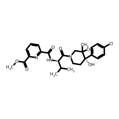 COC(=O)c1cccc(C(=O)N[C@@H](C(=O)N2CC[C@](O)(c3ccc(Cl)cc3)C(C)(C)C2)C(C)C)n1